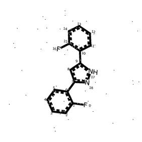 Fc1ccccc1-c1cc(-c2ccccc2F)[nH]n1